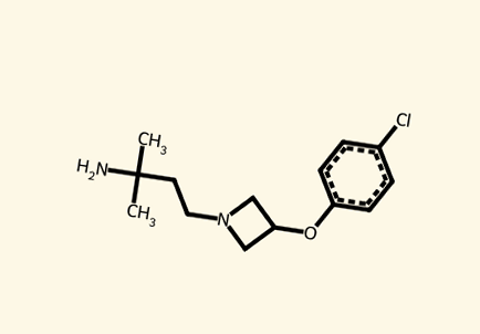 CC(C)(N)CCN1CC(Oc2ccc(Cl)cc2)C1